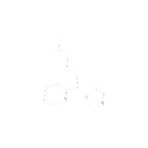 CCC[SiH2]OCCC(c1ccccc1)c1ccccc1